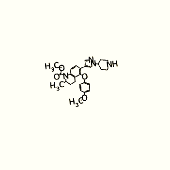 COC(=O)N1c2ccc(-c3cnn(C4CCNCC4)c3)c(Oc3ccc(OC)cc3)c2CCC1C